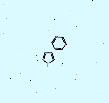 c1cn[nH]c1.c1ncncn1